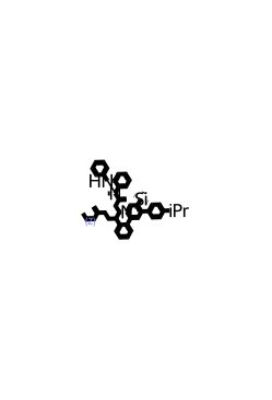 C=C(/C=C\C)CCC1c2ccccc2-c2cc(-c3ccc(C(C)C)cc3)c([Si](C)(C)C)c[n+]2C1CC(=C)N(C)c1ccccc1Nc1ccccc1